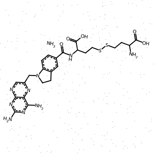 N.Nc1nc(N)c2nc(CN3CCc4cc(C(=O)NC(CCSSCCC(N)C(=O)O)C(=O)O)ccc43)cnc2n1